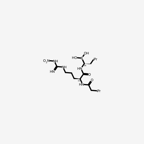 CC(C)CC(=O)N[C@@H](CCCNC(=N)N[N+](=O)[O-])C(=O)N[C@@H](CC(C)C)B(O)O